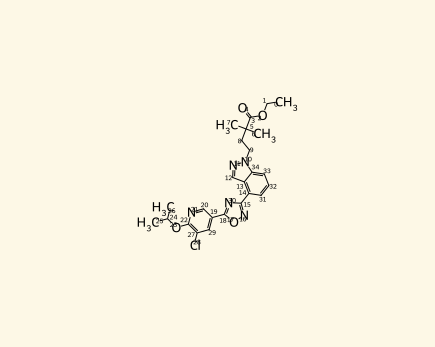 CCOC(=O)C(C)(C)CCn1ncc2c(-c3noc(-c4cnc(OC(C)C)c(Cl)c4)n3)cccc21